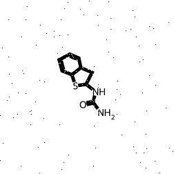 NC(=O)NC1CC2C=CC=CC2S1